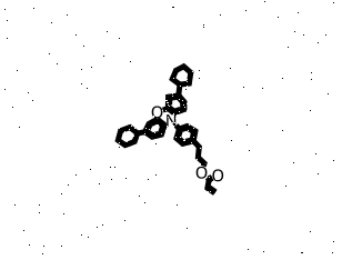 C=CC(=O)OCCCc1ccc(N2c3ccc(C4CCCCC4)cc3Oc3cc(C4CCCCC4)ccc32)cc1